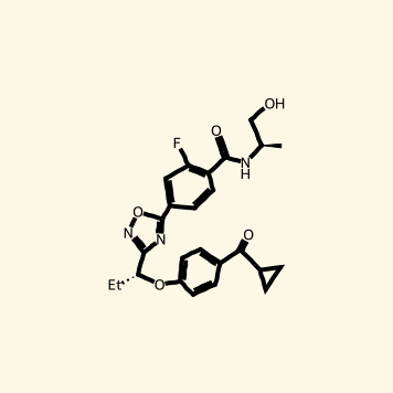 CC[C@@H](Oc1ccc(C(=O)C2CC2)cc1)c1noc(-c2ccc(C(=O)N[C@H](C)CO)c(F)c2)n1